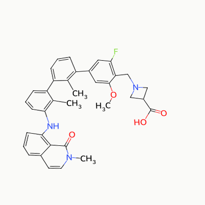 COc1cc(-c2cccc(-c3cccc(Nc4cccc5ccn(C)c(=O)c45)c3C)c2C)cc(F)c1CN1CC(C(=O)O)C1